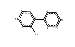 Clc1cnccc1-c1[c]cccc1